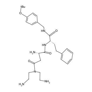 CC(C)(C)Oc1ccc(CNC(=O)[C@H](CCc2ccccc2)NC(=O)[C@@H](N)CC(=O)N(CCN)CCN)cc1